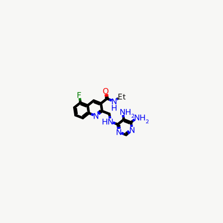 CCNC(=O)c1cc2c(F)cccc2nc1CNc1ncnc(N)c1N